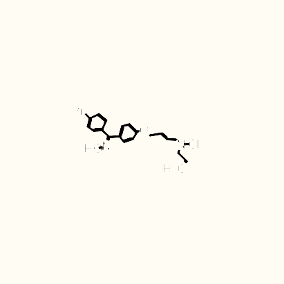 C=CCN(C)CC=CCOc1ccc(C(=NO)c2ccc(Br)cc2)cc1